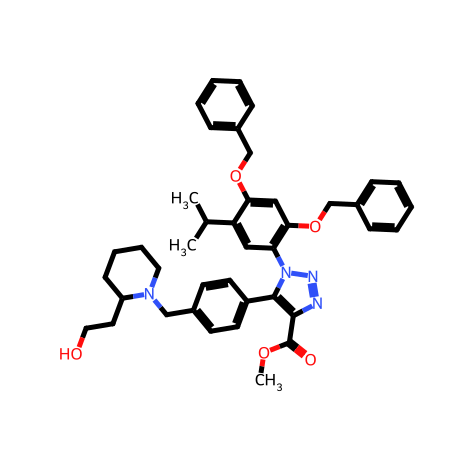 COC(=O)c1nnn(-c2cc(C(C)C)c(OCc3ccccc3)cc2OCc2ccccc2)c1-c1ccc(CN2CCCCC2CCO)cc1